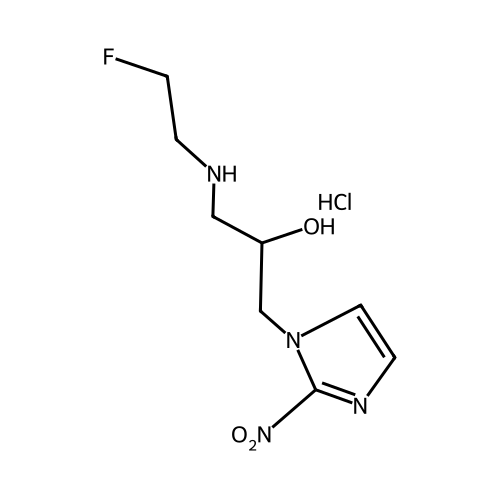 Cl.O=[N+]([O-])c1nccn1CC(O)CNCCF